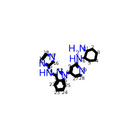 N[C@@H]1CCCC[C@H]1Nc1cc(-n2nc(Nc3cnccn3)c3ccccc32)ccn1